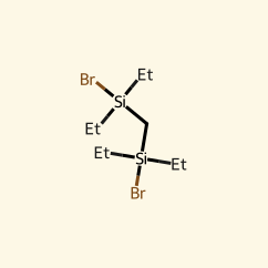 CC[Si](Br)(CC)C[Si](Br)(CC)CC